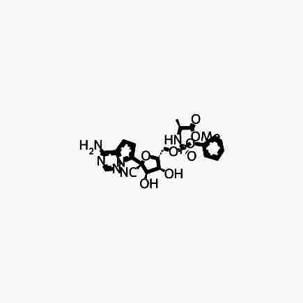 COC(=O)[C@H](C)NP(=O)(OC[C@H]1O[C@@](C#N)(c2ccc3c(N)ncnn23)[C@H](O)[C@@H]1O)Oc1ccccc1